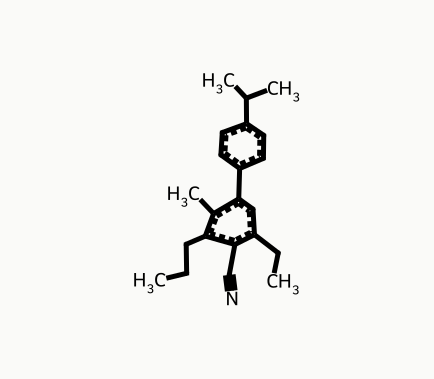 CCCc1c(C)c(-c2ccc(C(C)C)cc2)cc(CC)c1C#N